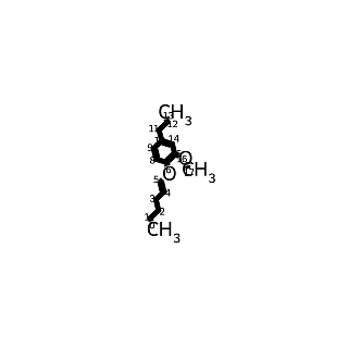 CCCCC=COc1ccc(CCC)cc1OC